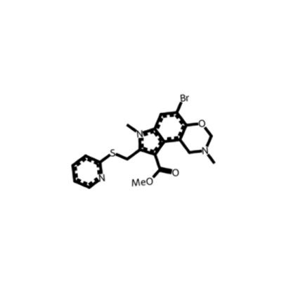 COC(=O)c1c(CSc2ccccn2)n(C)c2cc(Br)c3c(c12)CN(C)CO3